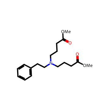 COC(=O)CCCN(CCCC(=O)OC)CCc1ccccc1